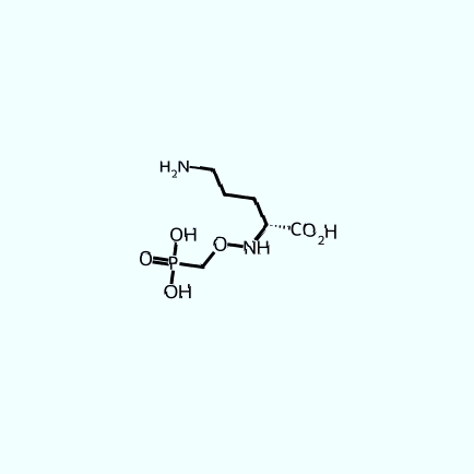 NCCC[C@@H](NOCP(=O)(O)O)C(=O)O